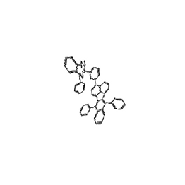 C1=CC(c2ccc3c4c(cccc24)-c2c-3c(-c3ccccc3)c3ccccc3c2-c2ccccc2)CC(c2nc3ccccc3n2-c2ccccc2)=C1